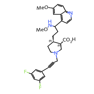 CONC(CC[C@@H]1CCN(CC#Cc2cc(F)cc(F)c2)C[C@@H]1C(=O)O)c1ccnc2ccc(OC)cc12